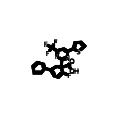 O=C(O)C1(c2nc(-c3cccs3)cc(C(F)(F)F)n2)CC(c2ccccc2)=CC=C1F